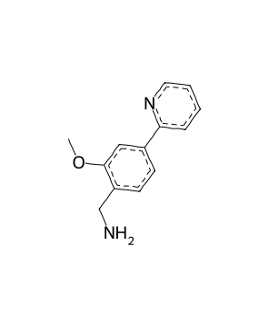 COc1cc(-c2ccccn2)ccc1CN